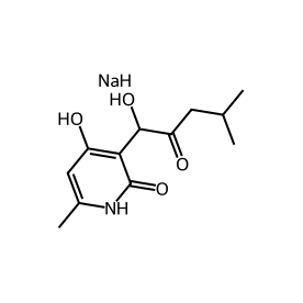 Cc1cc(O)c(C(O)C(=O)CC(C)C)c(=O)[nH]1.[NaH]